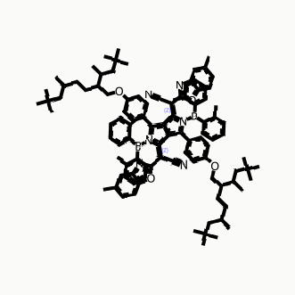 Cc1ccc2oc(/C(C#N)=c3/c4c(-c5ccc(OCC(CCC(C)CC(C)(C)C)C(C)CC(C)(C)C)cc5)n(B(c5ccccc5C)c5ccccc5C)/c(=C(/C#N)c5nc6cc(C)ccc6o5)c4c(-c4ccc(OCC(CCC(C)CC(C)(C)C)C(C)CC(C)(C)C)cc4)n3B(c3ccccc3C)c3ccccc3C)nc2c1